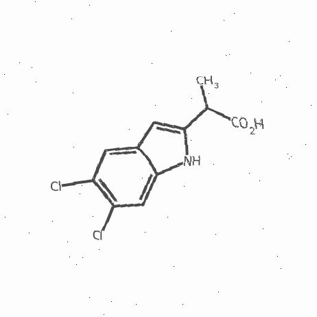 CC(C(=O)O)c1cc2cc(Cl)c(Cl)cc2[nH]1